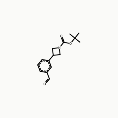 CC(C)(C)OC(=O)N1CC(c2cccc(C=O)c2)C1